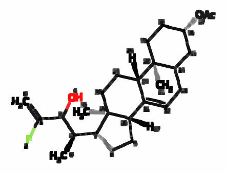 C=C(F)C(O)[C@H](C)[C@H]1CC[C@H]2C3=CCC4C[C@@H](OC(C)=O)CC[C@]4(C)[C@H]3CC[C@]12C